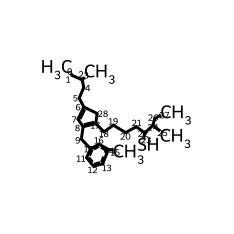 CCC(C)CCC1=CC(Cc2cccc(C)c2)=C(CCCCC(S)C(C)CC)C1